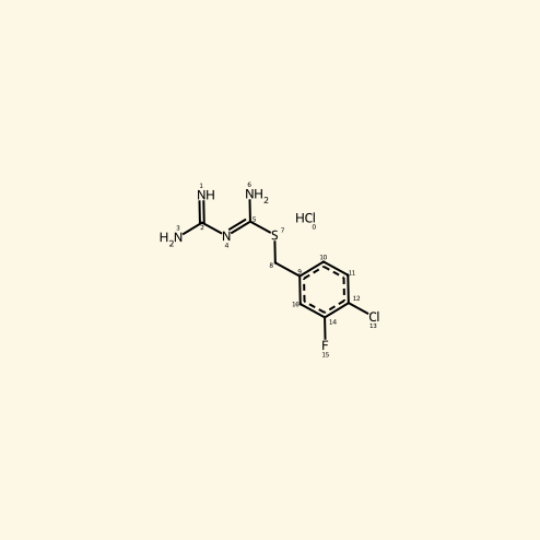 Cl.N=C(N)N=C(N)SCc1ccc(Cl)c(F)c1